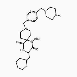 CCCCN1C(=O)[C@H](CC2CCCCC2)NC(=O)C12CCN(Cc1ccc(CN3CCN(C)CC3)cc1)CC2